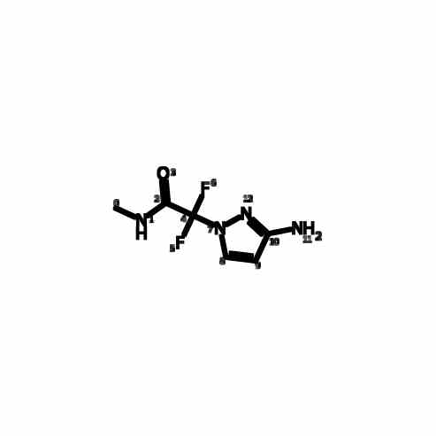 CNC(=O)C(F)(F)n1ccc(N)n1